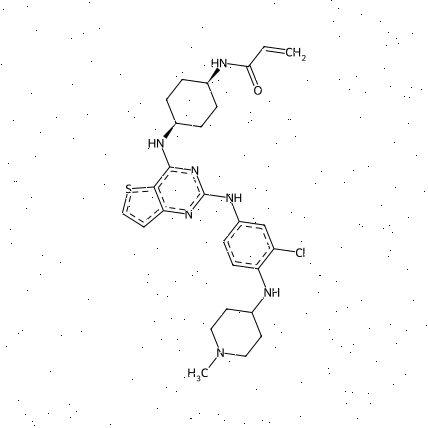 C=CC(=O)N[C@H]1CC[C@@H](Nc2nc(Nc3ccc(NC4CCN(C)CC4)c(Cl)c3)nc3ccsc23)CC1